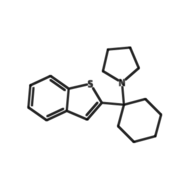 c1ccc2sc(C3(N4CCCC4)CCCCC3)cc2c1